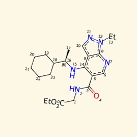 CCOC(=O)CNC(=O)c1cnc2c(cnn2CC)c1N[C@H](C)C1CCCCC1